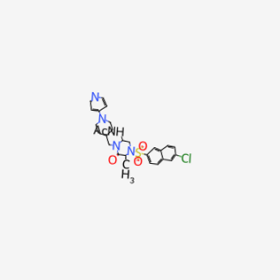 CC(=O)NC1CN(S(=O)(=O)c2ccc3cc(Cl)ccc3c2)C(C)C(=O)N1CC1CCN(c2ccncc2)CC1